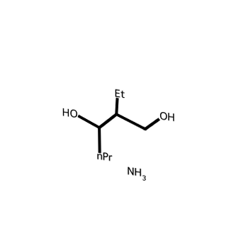 CCCC(O)C(CC)CO.N